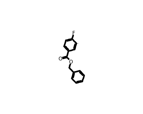 O=C(OCc1ccccc1)c1c[c]c(F)cc1